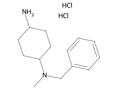 CN(Cc1ccccc1)C1CCC(N)CC1.Cl.Cl